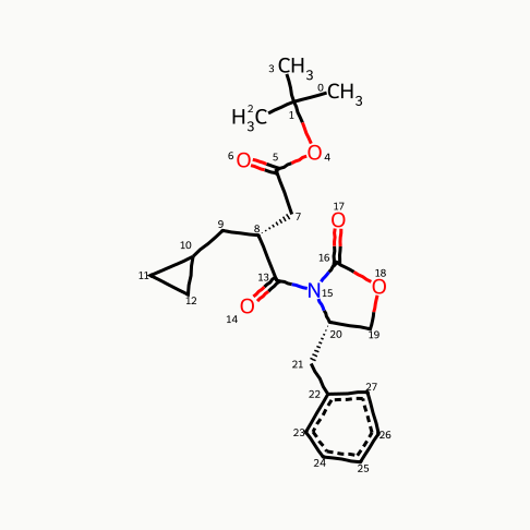 CC(C)(C)OC(=O)C[C@@H](CC1CC1)C(=O)N1C(=O)OC[C@@H]1Cc1ccccc1